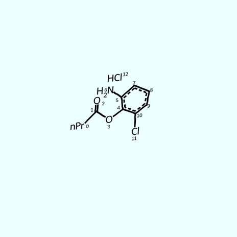 CCCC(=O)Oc1c(N)cccc1Cl.Cl